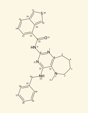 CN1CCCCc2nc(NC(=O)c3cccc4cscc34)nc(NCc3ccccc3)c21